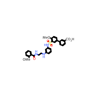 COc1ccccc1C(=O)NCCNc1cccc(NS(=O)(=O)c2cc(-c3cccc(C(=O)O)c3)ccc2OC)c1